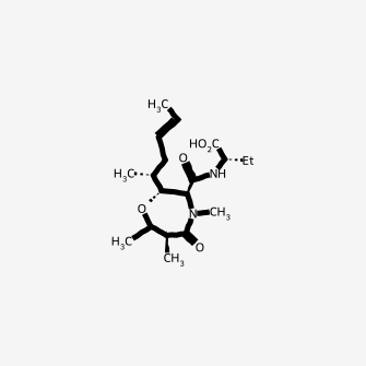 C/C=C/C[C@@H](C)[C@H]1OC(C)[C@H](C)C(=O)N(C)[C@@H]1C(=O)N[C@@H](CC)C(=O)O